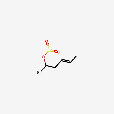 CC=CCC(CC)O[SH](=O)=O